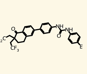 CCc1ccc(NC(=O)Nc2ccc(-c3ccc4c(c3)CCC(CC(=O)O)(CC(F)(F)F)C4=O)cc2)cc1